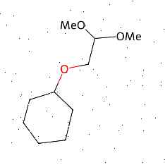 COC(COC1CCCCC1)OC